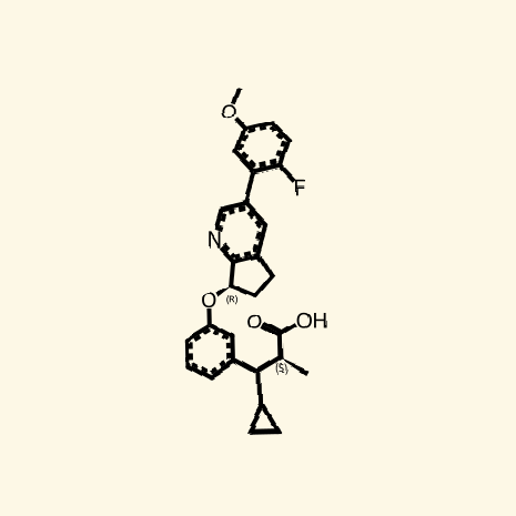 COc1ccc(F)c(-c2cnc3c(c2)CC[C@H]3Oc2cccc(C(C3CC3)[C@H](C)C(=O)O)c2)c1